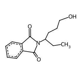 CCC(CCCO)N1C(=O)c2ccccc2C1=O